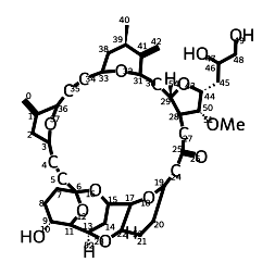 C=C1CC2CCC34CC[C@@H](O)C(O3)[C@H]3CC(O4)C4OC(CC[C@@H]4O3)CC(=O)CC3[C@H](CC4OC(CCC1O2)C[C@@H](C)C4=C)O[C@H](CC(O)CO)[C@@H]3OC